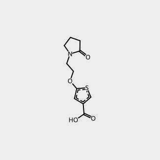 O=C(O)c1csc(OCCN2CCCC2=O)c1